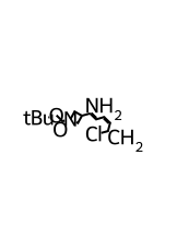 C=C(Cl)/C=C\C=C(/N)C1CN(C(=O)OC(C)(C)C)C1